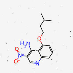 CC(C)CCOc1cccc2ncc([N+](=O)[O-])c(N)c12